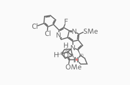 COC(=O)N1CCC[C@@H]1c1cc2c(SC)nc3c(F)c(-c4cccc(Cl)c4Cl)ncc3c2n1[C@@H]1[C@@H]2CC[C@H]1C2